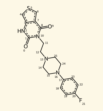 O=c1[nH]c2cscc2c(=O)n1CCN1CCN(c2ccc(F)cc2)CC1